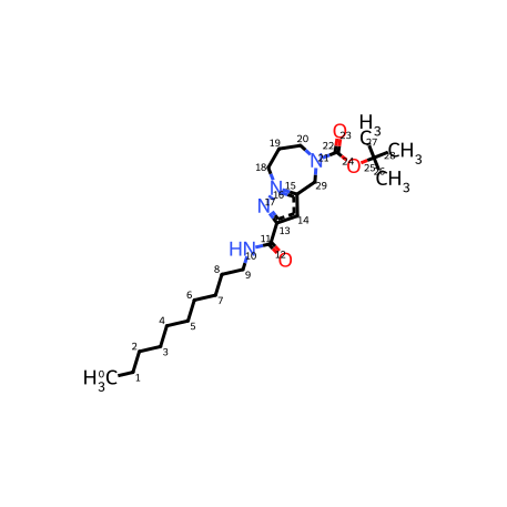 CCCCCCCCCCNC(=O)c1cc2n(n1)CCCN(C(=O)OC(C)(C)C)C2